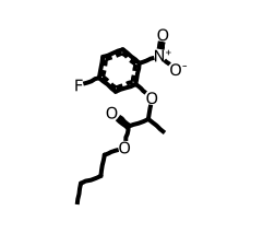 CCCCOC(=O)C(C)Oc1cc(F)ccc1[N+](=O)[O-]